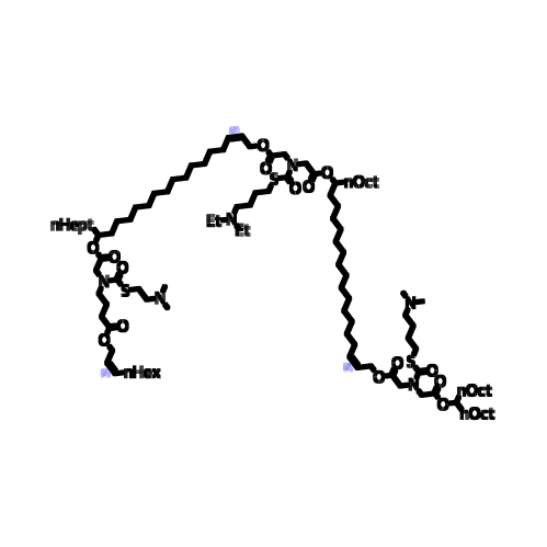 CCCCCC/C=C\COC(=O)CCCN(CC(=O)OC(CCCCCCC)CCCCCCCCCCCCC/C=C\COC(=O)CN(CC(=O)OC(CCCCCCCC)CCCCCCCCCCCCCC/C=C\COC(=O)CN(CC(=O)OC(CCCCCCCC)CCCCCCCC)C(=O)SCCCCN(C)C)C(=O)SCCCCN(CC)CC)C(=O)SCCN(C)C